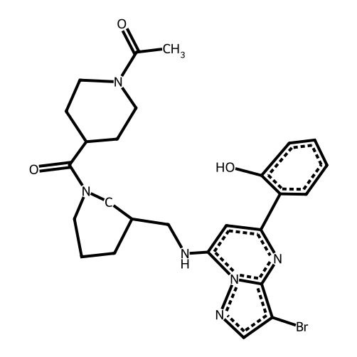 CC(=O)N1CCC(C(=O)N2CCCC(CNc3cc(-c4ccccc4O)nc4c(Br)cnn34)C2)CC1